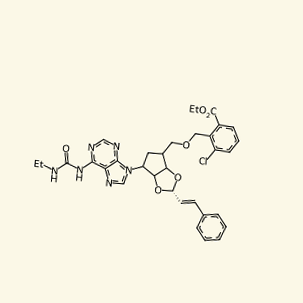 CCNC(=O)Nc1ncnc2c1ncn2C1CC(COCc2c(Cl)cccc2C(=O)OCC)C2O[C@H](/C=C/c3ccccc3)OC21